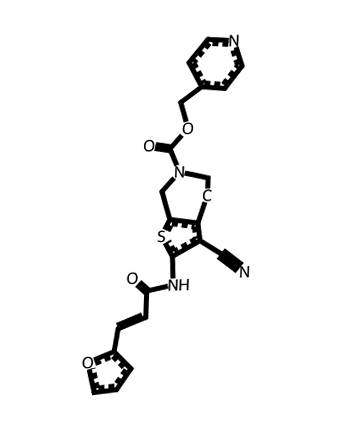 N#Cc1c(NC(=O)C=Cc2ccco2)sc2c1CCN(C(=O)OCc1ccncc1)C2